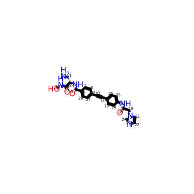 NC[C@H](NC(=O)c1ccc(C#Cc2ccc(NC(=O)Cn3ccnc3)cc2)cc1)C(=O)NO